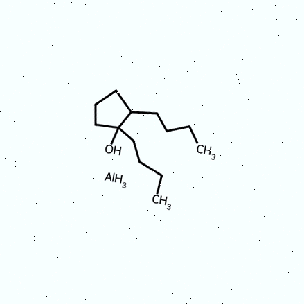 CCCCC1CCCC1(O)CCCC.[AlH3]